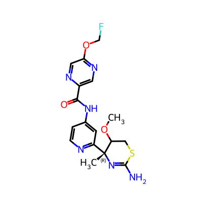 COC1CSC(N)=N[C@]1(C)c1cc(NC(=O)c2cnc(OCF)cn2)ccn1